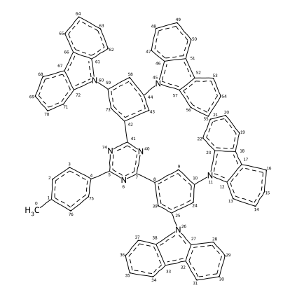 Cc1ccc(-c2nc(-c3cc(-n4c5ccccc5c5ccccc54)cc(-n4c5ccccc5c5ccccc54)c3)nc(-c3cc(-n4c5ccccc5c5ccccc54)cc(-n4c5ccccc5c5ccccc54)c3)n2)cc1